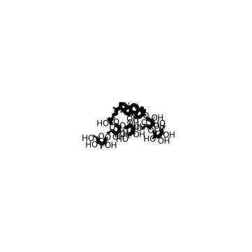 C[C@@H]1[C@@H](O)[C@@H](OC[C@H]2O[C@@H](O[C@H](CC[C@@H](C)C3CC[C@@]4(C)C5CC=C6C(CC[C@H](O[C@@H]7O[C@H](CO)[C@@H](O[C@H]8O[C@H](CO)[C@@H](O)[C@H](O)[C@H]8O)[C@H](O)[C@H]7O)C6(C)C)[C@]5(C)[C@H](O)C[C@]34C)C(C)(C)O)[C@H](O[C@H]3O[C@@H](CO)[C@H](O)[C@@H](O)[C@@H]3O)[C@@H](O)[C@@H]2O)O[C@H](CO)[C@H]1O